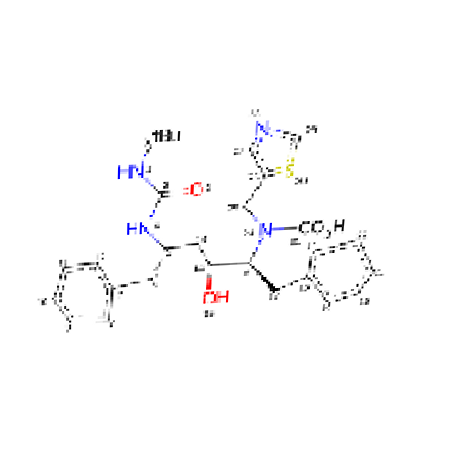 CC(C)(C)NC(=O)N[C@@H](Cc1ccccc1)C[C@H](O)[C@H](Cc1ccccc1)N(Cc1cncs1)C(=O)O